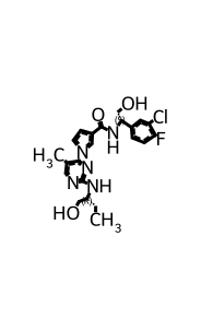 CC[C@H](CO)Nc1ncc(C)c(-n2ccc(C(=O)N[C@H](CO)c3ccc(F)c(Cl)c3)c2)n1